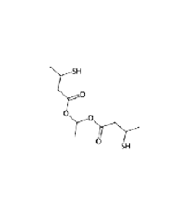 CC(S)CC(=O)OC(C)OC(=O)CC(C)S